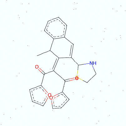 CC1C(=C(C(=O)c2ccco2)C(=O)c2ccco2)C(C2NCCS2)=Cc2ccccc21